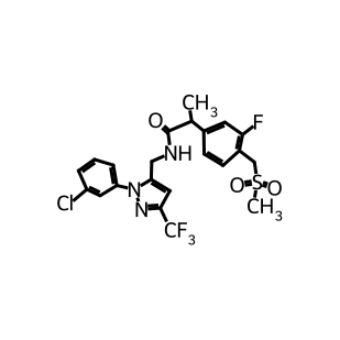 CC(C(=O)NCc1cc(C(F)(F)F)nn1-c1cccc(Cl)c1)c1ccc(CS(C)(=O)=O)c(F)c1